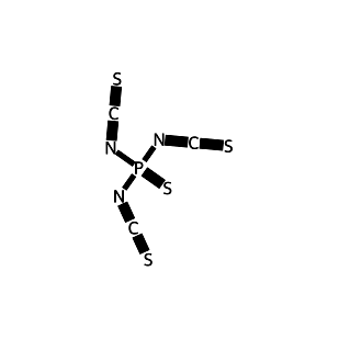 S=C=NP(=S)(N=C=S)N=C=S